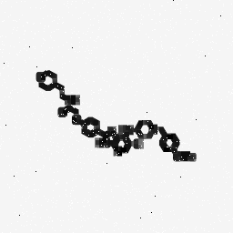 COc1ccc(CN2CCC(Nc3c(Cl)cnc4[nH]c(-c5ccc(OCC(=O)NCCC6CCOCC6)cc5)nc34)CC2)cc1